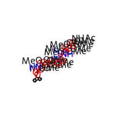 COCC1OC(NC(=O)CCc2c(N[C@@H]3C(C)O[C@@H](O[C@H]4C(COC)O[C@@H](O[C@H]5C(COC)OC(NC(=O)CCC(=O)OCC6c7ccccc7-c7ccccc76)C(OC)[C@@H]5OC)C(OC)[C@@H]4OC)C(OC)[C@@H]3OC)c(=O)c2=O)C(OC)[C@H](OC)[C@H]1O[C@@H]1OC(COC)[C@H](O[C@@H]2OC(C)[C@@H](NC(C)=O)[C@@H](OC)C2OC)[C@@H](OC)C1OC